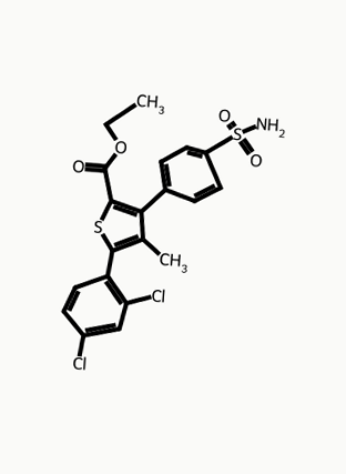 CCOC(=O)c1sc(-c2ccc(Cl)cc2Cl)c(C)c1-c1ccc(S(N)(=O)=O)cc1